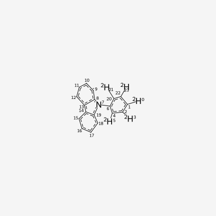 [2H]c1c([2H])c([2H])c(-n2c3[c]cccc3c3ccccc32)c([2H])c1[2H]